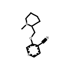 CN1CCCCC1COc1cnccc1C#N